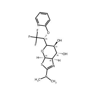 CN(C)C1=N[C@@H]2[C@@H](O)[C@H](O)C([C@@H](Oc3ccccn3)C(F)(F)F)O[C@@H]2S1